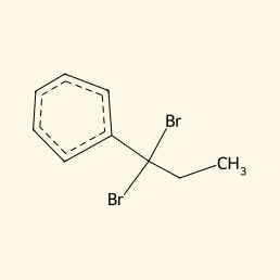 CCC(Br)(Br)c1ccccc1